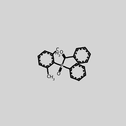 Cc1cccc(C)c1P(=O)(C(=O)c1ccccc1)c1ccccc1